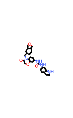 O=C(Nc1ccc2c(c1)OCC(=O)N2Cc1ccc2cocc2c1)Nc1ccc2cc[nH]c2c1